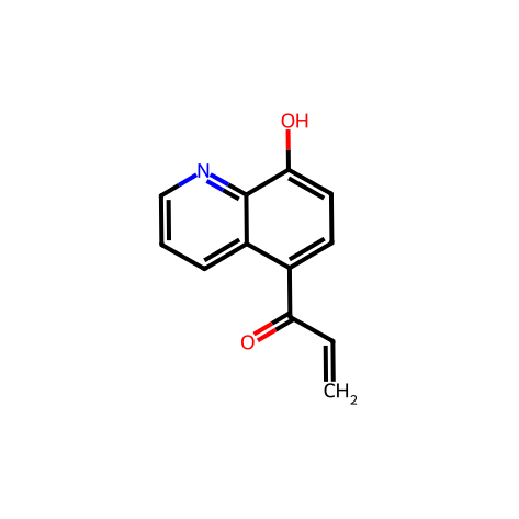 C=CC(=O)c1ccc(O)c2ncccc12